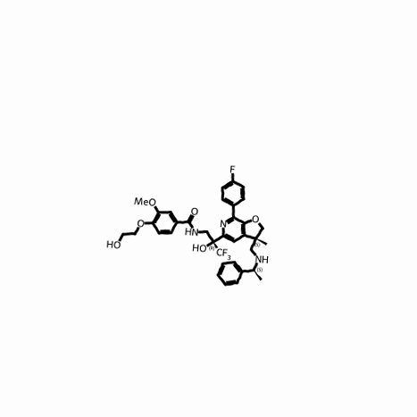 COc1cc(C(=O)NC[C@@](O)(c2cc3c(c(-c4ccc(F)cc4)n2)OC[C@]3(C)CN[C@@H](C)c2ccccc2)C(F)(F)F)ccc1OCCO